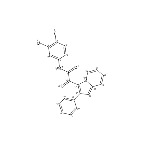 O=C(Nc1ccc(F)c(Cl)c1)C(=O)c1c(-c2ccccc2)cc2ccccn12